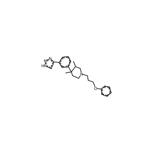 CC1CN(CCCOc2ccccc2)CCC1(C)c1cccc(-c2c[nH]nn2)c1